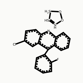 Fc1ccccc1-c1c2ccccc2nc2ccc(Cl)cc12.O1O[SiH2][SiH]=[SiH]1